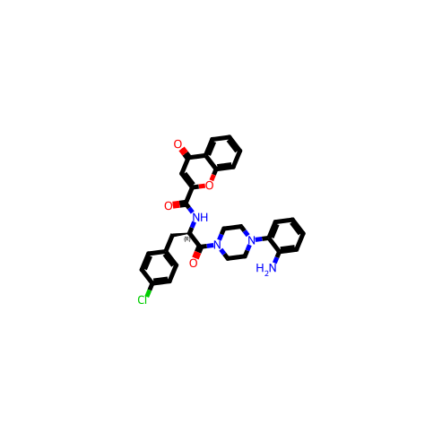 Nc1ccccc1N1CCN(C(=O)[C@@H](Cc2ccc(Cl)cc2)NC(=O)c2cc(=O)c3ccccc3o2)CC1